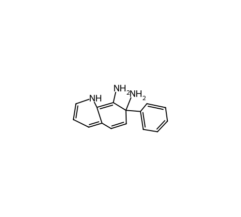 NC1=C2NC=CC=C2C=CC1(N)c1ccccc1